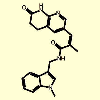 CC(=Cc1cnc2c(c1)CCC(=O)N2)C(=O)NCc1cn(C)c2ccccc12